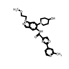 COCCn1ncc2cc(NC(=O)c3coc(-c4ccnc(C)c4)n3)c(N3CCC(O)CC3)cc21